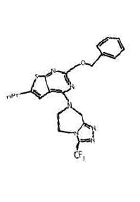 CCCc1cc2c(N3CCn4c(nnc4C(F)(F)F)C3)nc(OCc3ccccc3)nc2s1